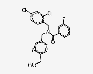 O=C(c1cccc(F)c1)N(Cc1ccc(CO)nc1)Cc1ccc(Cl)cc1Cl